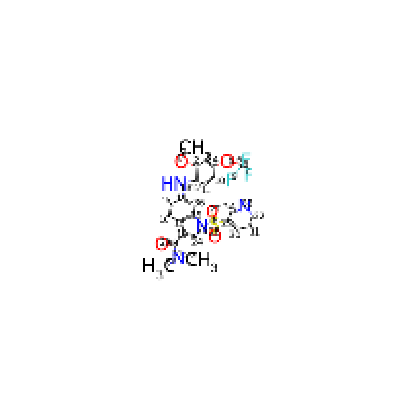 COc1cc(OC(F)(F)F)ccc1Nc1ccc2c(C(=O)N(C)C)cn(S(=O)(=O)c3cccnc3)c2c1